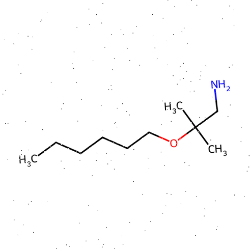 CCCCCCOC(C)(C)CN